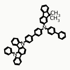 CC1(C)c2ccccc2-c2ccc(N(c3ccc(-c4ccccc4)cc3)c3ccc(-c4ccc(-n5c6ccccc6c6c5ccc5c7ccccc7n(-c7ccccc7)c56)cc4)cc3)cc21